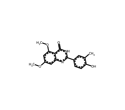 COc1cc(OC)c2c(=O)[nH]c(-c3ccc(O)c(C)c3)nc2c1